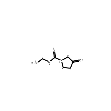 CCCCCCCOC(=O)N1CCC(=O)C1